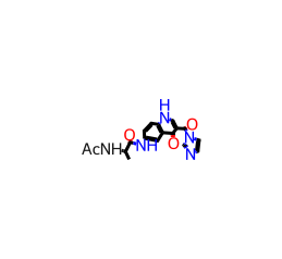 CC(=O)NC(C)C(=O)Nc1ccc2[nH]cc(C(=O)n3ccnc3)c(=O)c2c1